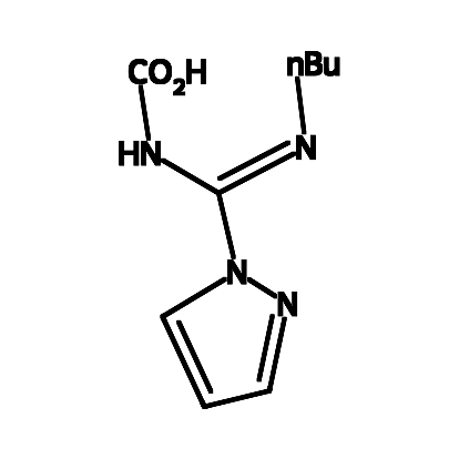 CCCC/N=C(\NC(=O)O)n1cccn1